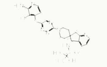 CC(C)(C)[S@@+]([O-])N[C@H]1c2cccnc2CC12CCN(c1ncc(Sc3ccnc(N)c3Cl)nn1)CC2